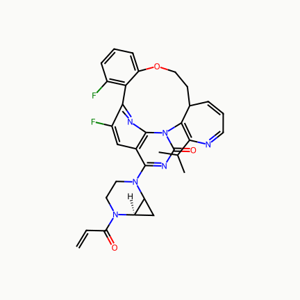 C=CC(=O)N1CCN(c2nc(=O)n3c4nc(c(F)cc24)-c2c(F)cccc2OCCC2C=CC=NC(C(C)C)=C23)C2C[C@H]21